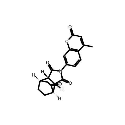 Cc1cc(=O)oc2cc(N3C(=O)[C@H]4[C@@H]5CC[C@@H](C(=O)C5)[C@H]4C3=O)ccc12